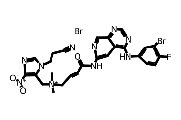 C[N+](C)(C/C=C/C(=O)Nc1cc2c(Nc3ccc(F)c(Br)c3)ncnc2cn1)Cc1c([N+](=O)[O-])ncn1CCC#N.[Br-]